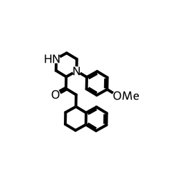 COc1ccc(N2CCNCC2C(=O)CC2CCCc3ccccc32)cc1